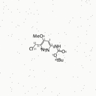 COc1cc(NC(=O)OC(C)(C)C)nnc1CCl